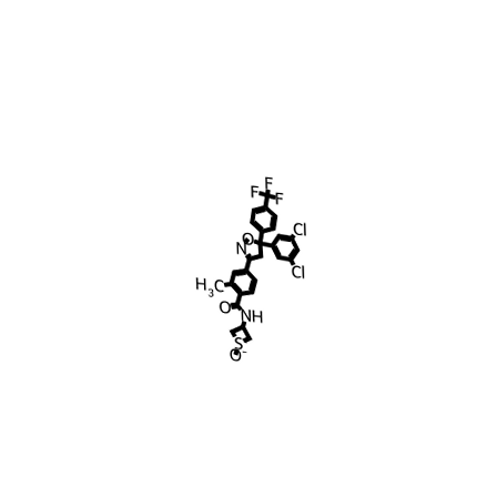 Cc1cc(C2=NOC(c3ccc(C(F)(F)F)cc3)(c3cc(Cl)cc(Cl)c3)C2)ccc1C(=O)NC1C[S+]([O-])C1